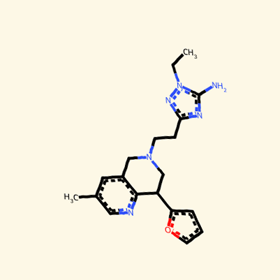 CCn1nc(CCN2Cc3cc(C)cnc3C(c3ccco3)C2)nc1N